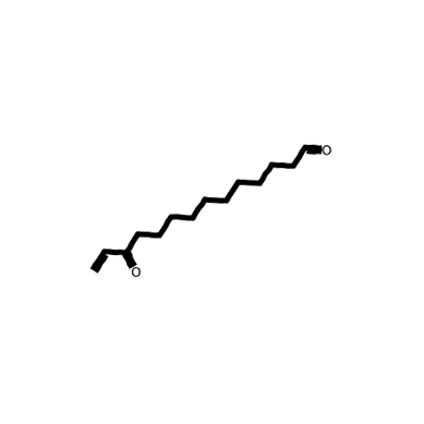 C=CC(=O)CCCCCCCCCCC=O